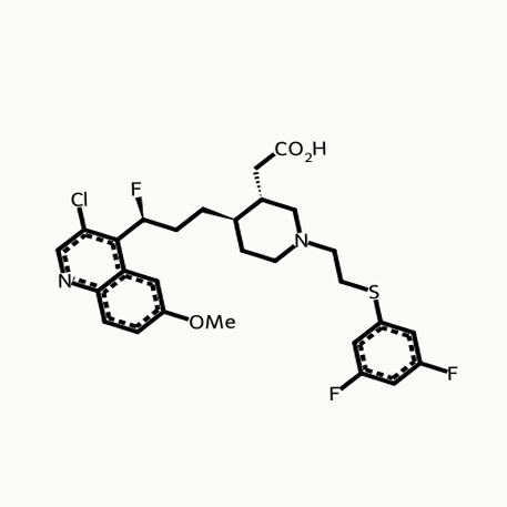 COc1ccc2ncc(Cl)c([C@@H](F)CC[C@@H]3CCN(CCSc4cc(F)cc(F)c4)C[C@H]3CC(=O)O)c2c1